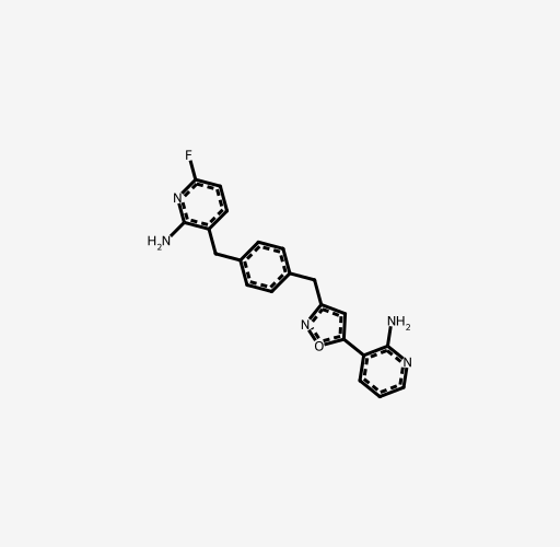 Nc1nc(F)ccc1Cc1ccc(Cc2cc(-c3cccnc3N)on2)cc1